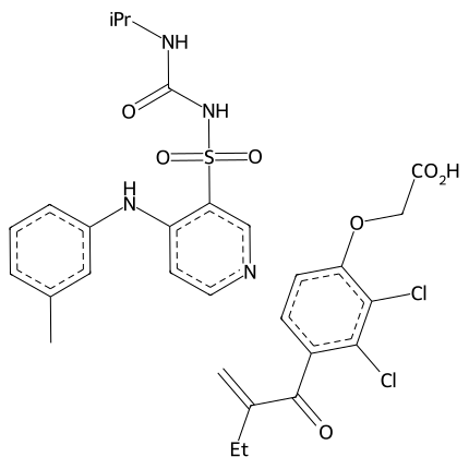 C=C(CC)C(=O)c1ccc(OCC(=O)O)c(Cl)c1Cl.Cc1cccc(Nc2ccncc2S(=O)(=O)NC(=O)NC(C)C)c1